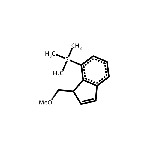 COCC1C=Cc2cccc([Si](C)(C)C)c21